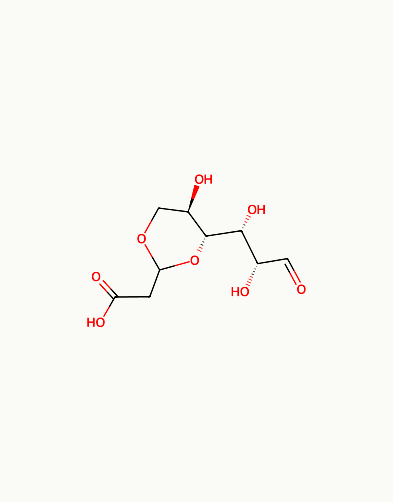 O=C[C@H](O)[C@@H](O)[C@@H]1OC(CC(=O)O)OC[C@H]1O